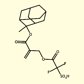 C=C(COC(=O)C(F)(F)S(=O)(=O)O)C(=O)OC1(C)C2CC3CC(C2)CC1C3